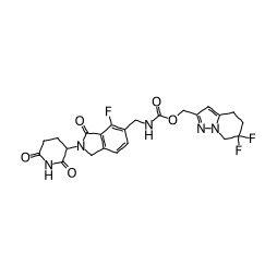 O=C1CCC(N2Cc3ccc(CNC(=O)OCc4cc5n(n4)CC(F)(F)CC5)c(F)c3C2=O)C(=O)N1